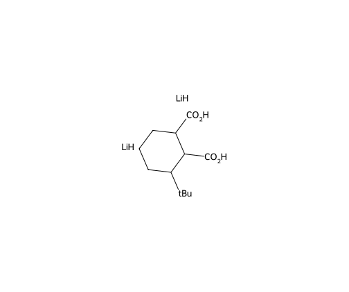 CC(C)(C)C1CCCC(C(=O)O)C1C(=O)O.[LiH].[LiH]